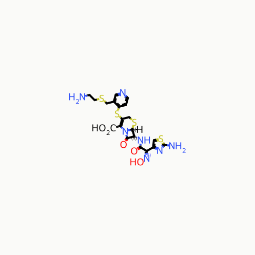 NCCSCc1cnccc1SC1=C(C(=O)O)N2C(=O)[C@@H](NC(=O)/C(=N\O)c3csc(N)n3)[C@@H]2SC1